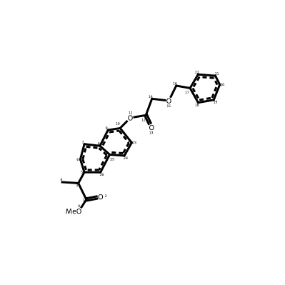 COC(=O)C(C)c1ccc2cc(OC(=O)COCc3ccccc3)ccc2c1